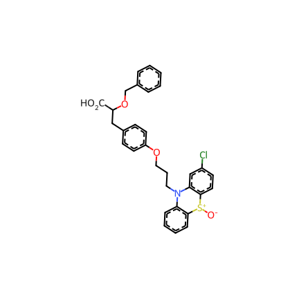 O=C(O)C(Cc1ccc(OCCCN2c3ccccc3[S+]([O-])c3ccc(Cl)cc32)cc1)OCc1ccccc1